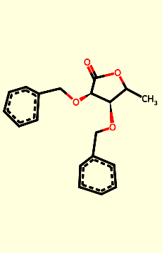 CC1OC(=O)[C@H](OCc2ccccc2)[C@@H]1OCc1ccccc1